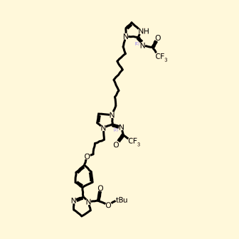 CC(C)(C)OC(=O)N1CCCN=C1c1ccc(OCCCn2ccn(CCCCCCCCn3cc[nH]/c3=N\C(=O)C(F)(F)F)/c2=N/C(=O)C(F)(F)F)cc1